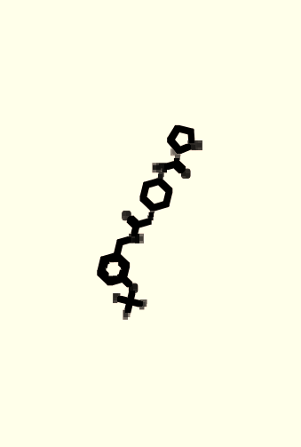 O=C(C[C@H]1CC[C@@H](NC(=O)[C@@H]2CCCN2)CC1)NCc1cccc(OC(F)(F)F)c1